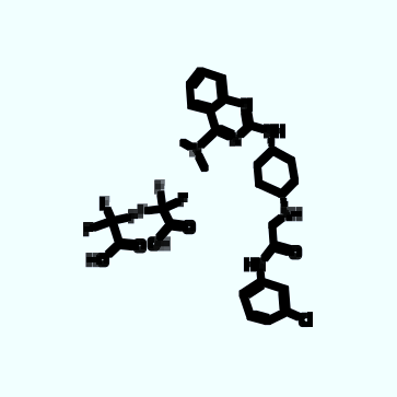 CN(C)c1nc(N[C@H]2CC[C@@H](NCC(=O)Nc3cccc(Cl)c3)CC2)nc2ccccc12.O=C(O)C(F)(F)F.O=C(O)C(F)(F)F